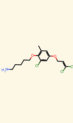 Cc1cc(OCC=C(Cl)Cl)cc(Cl)c1OCCCCCN